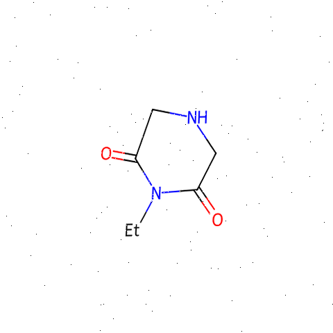 [CH2]CN1C(=O)CNCC1=O